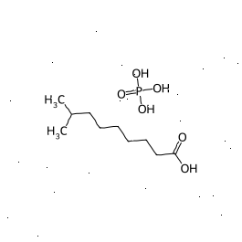 CC(C)CCCCCCC(=O)O.O=P(O)(O)O